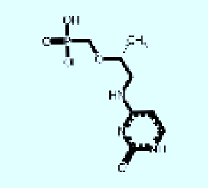 C[C@H](CNc1cc[nH]c(=O)n1)OCP(=O)(O)O